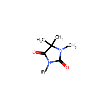 CC(C)N1C(=O)N(C)C(C)(C)C1=O